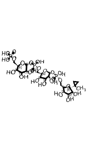 CC1([C@H]2O[C@H](COP(=O)(O)O[C@H]3O[C@H](COP(=O)(O)O[C@H]4O[C@H](COP(=O)(O)O)[C@@H](O)[C@H](O)[C@@H]4O)[C@@H](O)[C@H](O)[C@@H]3O)[C@@H](O)[C@H](O)[C@@H]2O)CC1